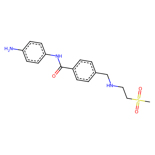 CS(=O)(=O)CCNCc1ccc(C(=O)Nc2ccc(N)cc2)cc1